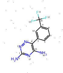 Nc1nnc(-c2cccc(C(F)(F)F)c2)c(N)n1